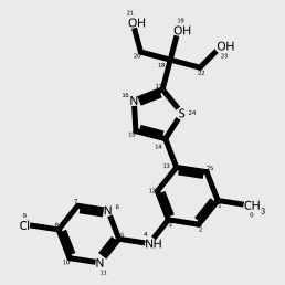 Cc1cc(Nc2ncc(Cl)cn2)cc(-c2cnc(C(O)(CO)CO)s2)c1